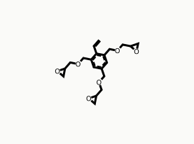 C=Cc1c(COCC2CO2)cc(COCC2CO2)cc1COCC1CO1